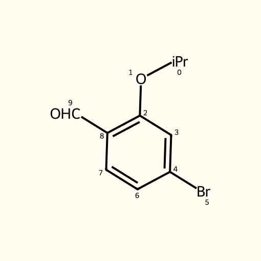 CC(C)Oc1cc(Br)ccc1C=O